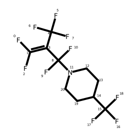 FC(F)=C(C(F)(F)F)C(F)(F)N1CCC(C(F)(F)F)CC1